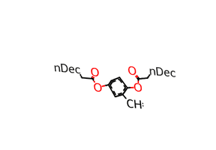 [CH]c1cc(OC(=O)CCCCCCCCCCC)ccc1OC(=O)CCCCCCCCCCC